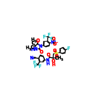 CC(O)(CS(=O)(=O)c1ccc(F)cc1)C(=O)Nc1ccc(C#N)c(C(F)(F)F)c1.CC1(C)NC(=O)N(c2ccc([N+](=O)[O-])c(C(F)(F)F)c2)C1=O